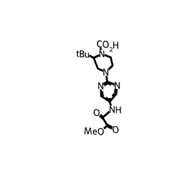 COC(=O)C(=O)Nc1cnc(N2CCN(C(=O)O)C(C(C)(C)C)C2)nc1